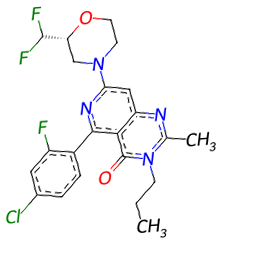 CCCn1c(C)nc2cc(N3CCO[C@@H](C(F)F)C3)nc(-c3ccc(Cl)cc3F)c2c1=O